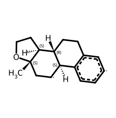 C[C@]12C[CH][C@@H]3c4cc[c]cc4CC[C@H]3[C@@H]1CCO2